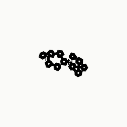 c1ccc(-c2cccc(-n3c4ccccc4c4ccc(-c5cccc(-c6cccc(N(c7ccccc7)c7ccc8c(c7)C(c7ccccc7)(c7ccccc7)c7ccccc7-8)c6)c5)cc43)c2)cc1